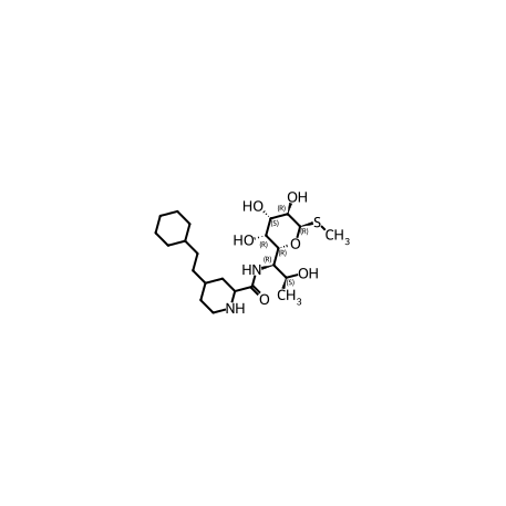 CS[C@H]1O[C@H]([C@H](NC(=O)C2CC(CCC3CCCCC3)CCN2)[C@H](C)O)[C@H](O)[C@H](O)[C@H]1O